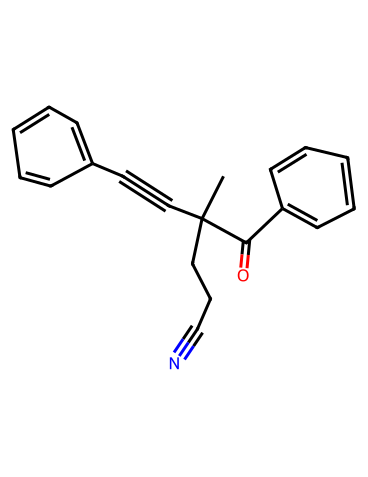 CC(C#Cc1ccccc1)(CCC#N)C(=O)c1ccccc1